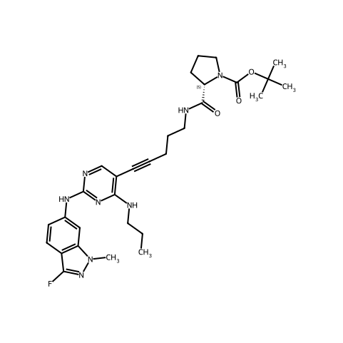 CCCNc1nc(Nc2ccc3c(F)nn(C)c3c2)ncc1C#CCCCNC(=O)[C@@H]1CCCN1C(=O)OC(C)(C)C